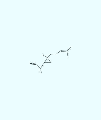 COC(=O)C1CC1(C)CCC=C(C)C